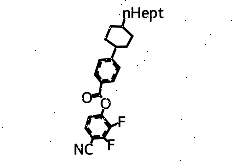 CCCCCCCC1CCC(c2ccc(C(=O)Oc3ccc(C#N)c(F)c3F)cc2)CC1